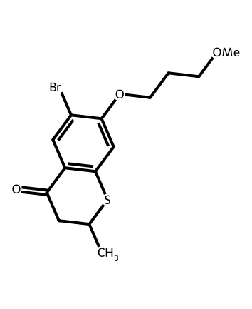 COCCCOc1cc2c(cc1Br)C(=O)CC(C)S2